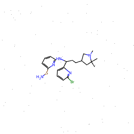 CN1CC(CCC(Nc2cccc(SN)n2)c2cccc(Br)n2)CC1(C)C